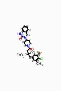 CCOC(=O)C(CC(=O)N1CCC(N2Cc3ccccc3NC2=O)CC1)(Cc1cc(C)c(Cl)c(Br)c1)C(=O)OCC